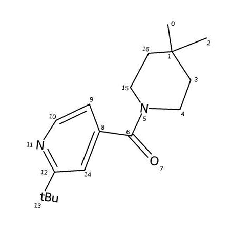 CC1(C)CCN(C(=O)c2ccnc(C(C)(C)C)c2)CC1